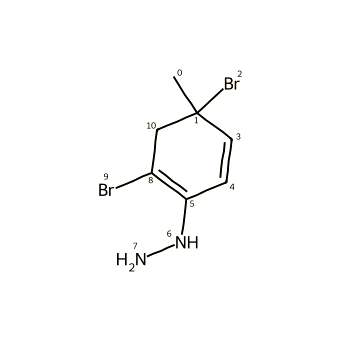 CC1(Br)C=CC(NN)=C(Br)C1